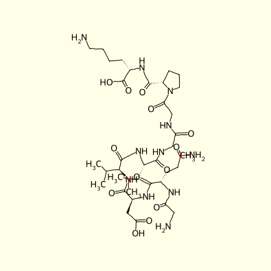 CC(C)C[C@H](NC(=O)[C@@H](NC(=O)[C@H](CC(=O)O)NC(=O)[C@H](CCC(N)=O)NC(=O)CN)C(C)C)C(=O)N[C@@H](C)C(=O)NCC(=O)N1CCC[C@H]1C(=O)N[C@@H](CCCCN)C(=O)O